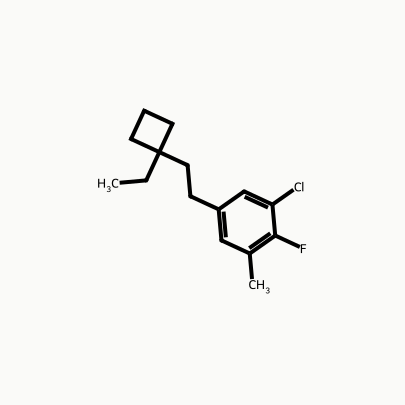 CCC1(CCc2cc(C)c(F)c(Cl)c2)CCC1